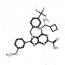 COc1cccc(-c2nc3nc(C(=O)O)nc(N[C@H](C)C4CCC4)c3n2Cc2ccc(C(F)(F)F)cc2)c1